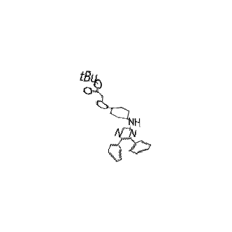 CC(C)(C)OC(=O)CO[C@H]1CC[C@@H](Nc2cnc(-c3ccccc3)c(-c3ccccc3)n2)CC1